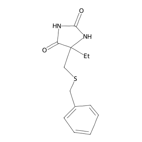 CCC1(CSCc2ccccc2)NC(=O)NC1=O